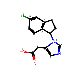 O=C(O)Cc1cncn1C1CCc2cc(Cl)ccc21